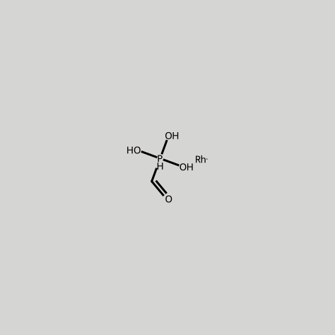 O=C[PH](O)(O)O.[Rh]